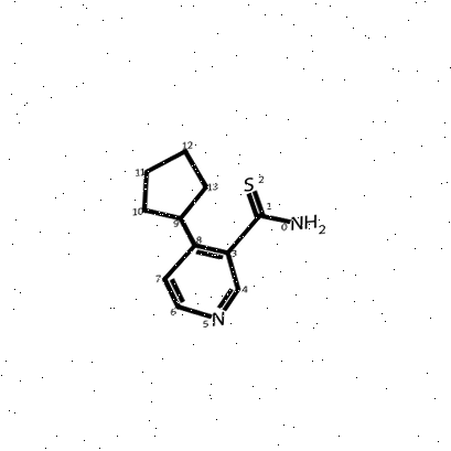 NC(=S)c1cnccc1C1CCCC1